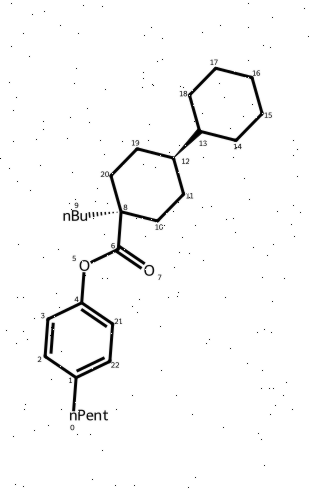 CCCCCc1ccc(OC(=O)[C@]2(CCCC)CC[C@H](C3CCCCC3)CC2)cc1